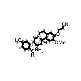 COc1cc2c(cc1OCCC#N)CCN1C[C@@H](c3cc(C)ccc3C)[C@H](N)C[C@H]21